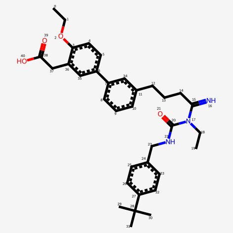 CCOc1ccc(-c2cccc(CCCC(=N)N(CC)C(=O)NCc3ccc(C(C)(C)C)cc3)c2)cc1CC(=O)O